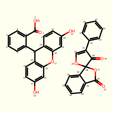 O=C(O)c1ccccc1C1c2ccc(O)cc2Oc2cc(O)ccc21.O=C1OC2(OC=C(c3ccccc3)C2=O)c2ccccc21